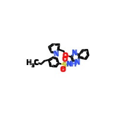 CCCc1ccc(S(=O)(=O)Nc2nc3ccccc3nc2OCc2ccccn2)cc1